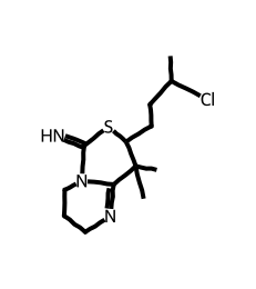 CC(Cl)CCC1SC(=N)N2CCCN=C2C1(C)C